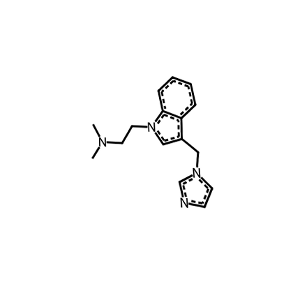 CN(C)CCn1cc(Cn2ccnc2)c2ccccc21